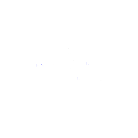 NOCc1c(Cl)nc2sccn12